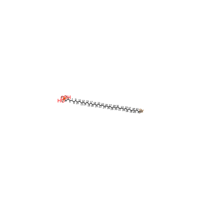 O=P(O)(O)CCCCCCCCCCCCCCCCCCCCCCCCCCCCCCCCCCCCCCCBr